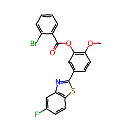 COc1ccc(-c2nc3cc(F)ccc3s2)cc1OC(=O)c1ccccc1Br